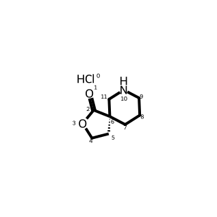 Cl.O=C1OCC[C@]12CCCNC2